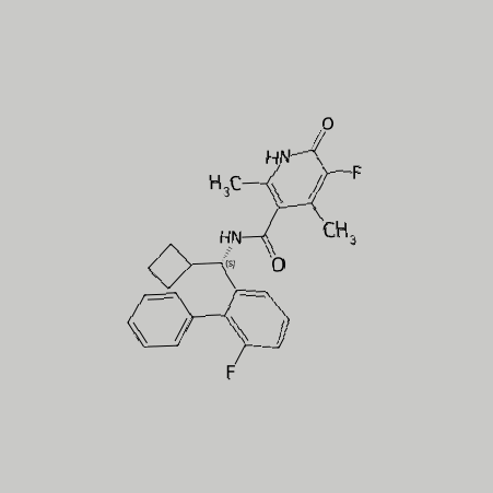 Cc1[nH]c(=O)c(F)c(C)c1C(=O)N[C@H](c1cccc(F)c1-c1ccccc1)C1CCC1